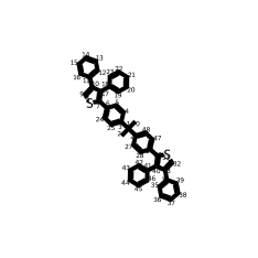 CC(C)(c1ccc(-c2scc(-c3ccccc3)c2-c2ccccc2)cc1)c1ccc(-c2scc(-c3ccccc3)c2-c2ccccc2)cc1